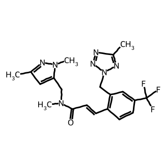 Cc1cc(CN(C)C(=O)C=Cc2ccc(C(F)(F)F)cc2Cn2nnc(C)n2)n(C)n1